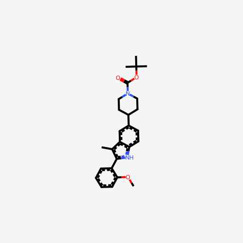 COc1ccccc1-c1[nH]c2ccc(C3CCN(C(=O)OC(C)(C)C)CC3)cc2c1C